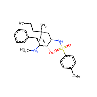 COc1ccc(S(=O)(=O)NC(CC(C)(C)CCC#N)[C@H](O)[C@H](Cc2ccccc2)NC(=O)O)cc1